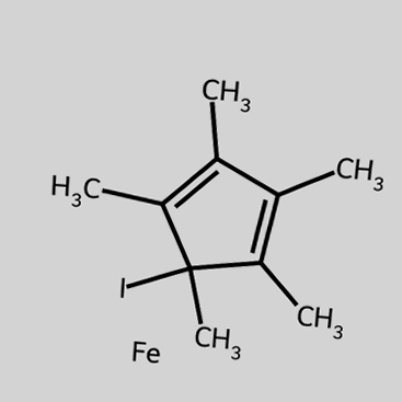 CC1=C(C)C(C)(I)C(C)=C1C.[Fe]